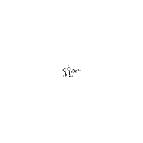 [Ba+2].[O-]F.[O-]F